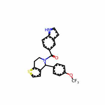 O=C(c1ccc2[nH]ccc2c1)N1CCc2sccc2C1c1ccc(OC(F)(F)F)cc1